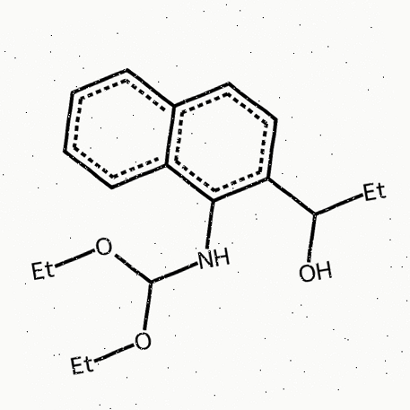 CCOC(Nc1c(C(O)CC)ccc2ccccc12)OCC